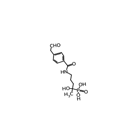 CC(O)(CCCNC(=O)c1ccc(CC=O)cc1)P(=O)(O)O